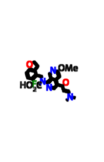 COc1cc2c(C(=O)C=CN(C)C)cnc(N(Cc3c(F)ccc4c3CCO4)C(=O)O)c2cn1